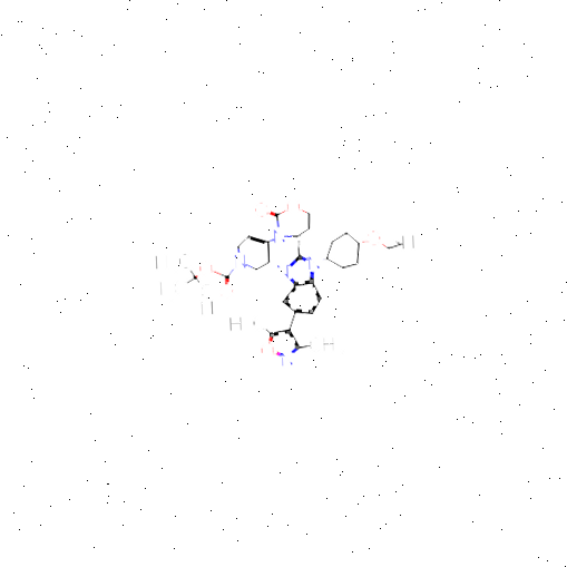 [2H]CO[C@H]1CC[C@H](n2c([C@@H]3CCOC(=O)N3C3=CCN(C(=O)OC(C)(C)C)CC3)nc3cc(-c4c(C)noc4C)ccc32)CC1